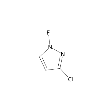 Fn1ccc(Cl)n1